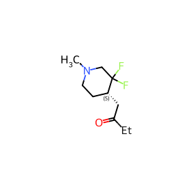 CCC(=O)C[C@@H]1CCN(C)CC1(F)F